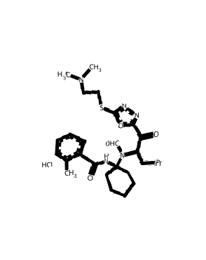 Cc1ccccc1C(=O)NC1(N(C=O)C(CC(C)C)C(=O)c2nnc(SCCN(C)C)o2)CCCCC1.Cl